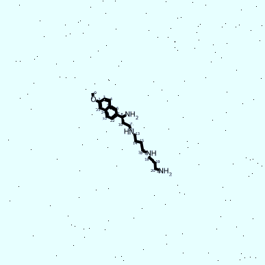 COc1ccc2cc(C(N)CCNCCCCNCCCN)ccc2c1